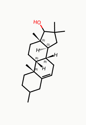 CC1CC[C@@]2(C)C(=CC[C@@H]3[C@H]2CC[C@]2(C)C(O)C(C)(C)C[C@@H]32)C1